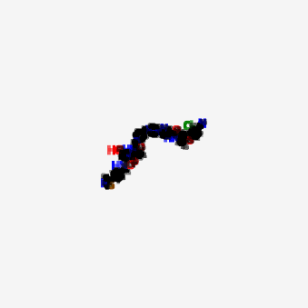 Cc1ncsc1-c1ccc([C@H](C)NC(=O)[C@@H]2C[C@@H](O)CN2C(=O)C(NC(=O)CN2CCC(CN3CCN(c4ccc(C(=O)NC5C(C)(C)C(Oc6ccc(C#N)c(Cl)c6)C5(C)C)cn4)CC3)CC2)C(C)(C)C)cc1